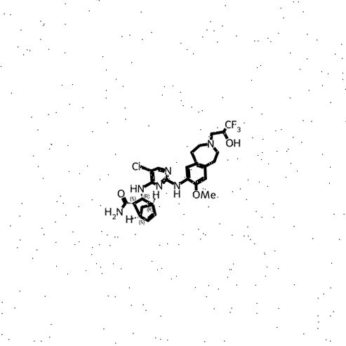 COc1cc2c(cc1Nc1ncc(Cl)c(N[C@H]3[C@@H](C(N)=O)[C@@H]4C=C[C@H]3C4)n1)CCN(CC(O)C(F)(F)F)CC2